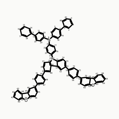 c1ccc(-c2ccc(N(c3ccc(-c4ccccc4)cc3)c3ccc(-n4c5ccc(-c6ccc(-c7ccc8oc9ccccc9c8c7)cc6)cc5c5cc(-c6ccc(-c7ccc8oc9ccccc9c8c7)cc6)ccc54)cc3)cc2)cc1